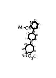 CCOC(=O)N1CCCC(N2CCC(c3cccnc3OC)CC2)CC1